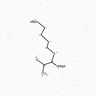 CCCCCCCCCCCCCSC(CCCCCCC)C(C)[O]